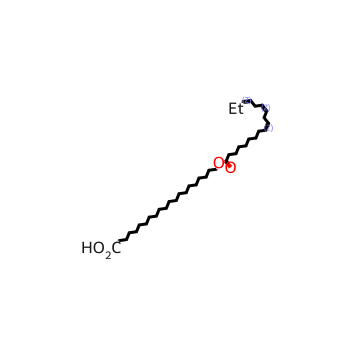 CC/C=C\C/C=C\C/C=C\CCCCCCCC(=O)OCCCCCCCCCCCCCCCCCCCCC(=O)O